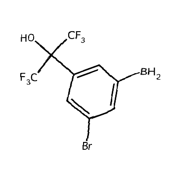 Bc1cc(Br)cc(C(O)(C(F)(F)F)C(F)(F)F)c1